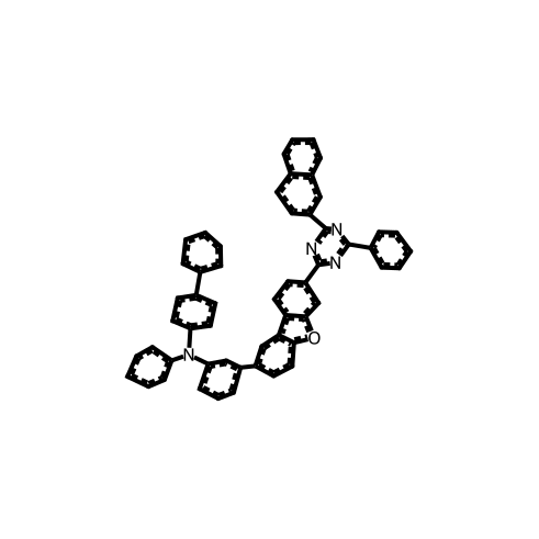 c1ccc(-c2ccc(N(c3ccccc3)c3cccc(-c4ccc5oc6cc(-c7nc(-c8ccccc8)nc(-c8ccc9ccccc9c8)n7)ccc6c5c4)c3)cc2)cc1